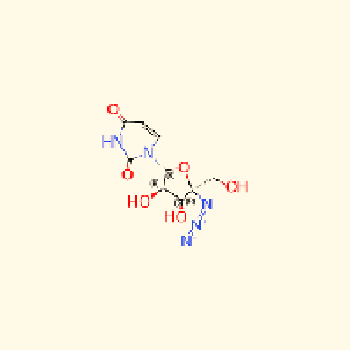 [N-]=[N+]=N[C@]1(CO)O[C@@H](n2ccc(=O)[nH]c2=O)[C@H](O)[C@@H]1O